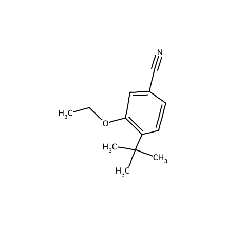 CCOc1cc(C#N)ccc1C(C)(C)C